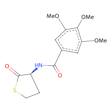 COc1cc(C(=O)N[C@H]2CCSC2=O)cc(OC)c1OC